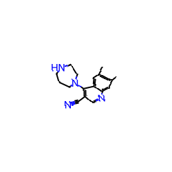 Cc1cc2ncc(C#N)c(N3CCCNCC3)c2cc1C